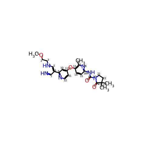 COCCN/C=C(\C=N)c1cc(Oc2ccc(NC(=O)N3CCC(C)(C)C3=O)nc2C)ccn1